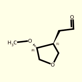 CO[C@H]1COC[C@@H]1CC=O